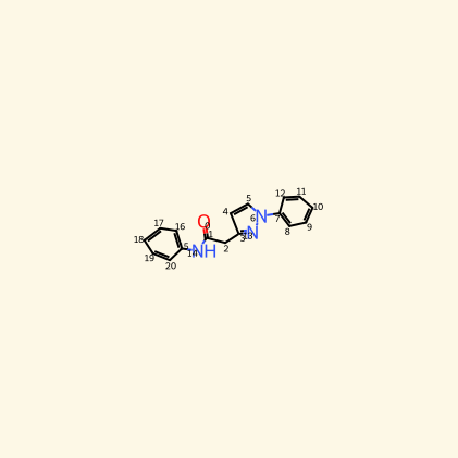 O=C(Cc1ccn(-c2ccccc2)n1)Nc1ccccc1